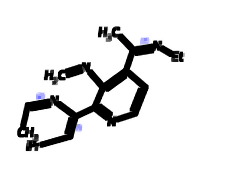 C=Nc1c(/C(C)=N\CC)ccnc1C(=C/C(C)C)/N=C\C